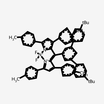 Cc1ccc(C2=CC(c3ccc(C)cc3)=[N+]3C2=C(c2cc(-c4ccc(C(C)(C)C)cc4)cc(-c4ccc(C(C)(C)C)cc4)c2)c2c(-c4ccc(C)cc4)cc(-c4ccc(C)cc4)n2[N+]3(F)F)cc1